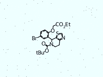 CCOC(=O)COc1ccc(Br)cc1C1c2scnc2CCN1C(=O)OC(C)(C)C